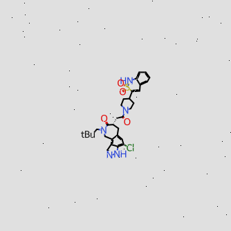 CC(C)(C)CN1Cc2c(cc(Cl)c3[nH]ncc23)C[C@@H](CC(=O)N2CCC(C3=Cc4ccccc4NS3(=O)=O)CC2)C1=O